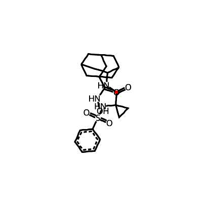 O=C(NO)C12CC3CC(C1)C(NC(=O)C1(NS(=O)(=O)c4ccccc4)CC1)C(C3)C2